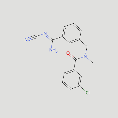 CN(Cc1cccc(/C(N)=N/C#N)c1)C(=O)c1cccc(Cl)c1